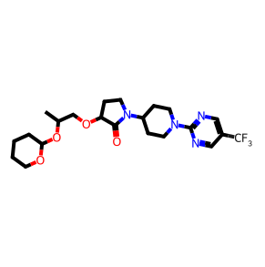 CC(COC1CCN(C2CCN(c3ncc(C(F)(F)F)cn3)CC2)C1=O)OC1CCCCO1